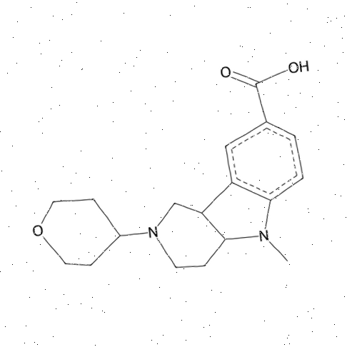 CN1c2ccc(C(=O)O)cc2C2CN(C3CCOCC3)CCC21